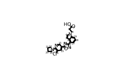 O=C(O)CCn1ccc2c(-c3noc(-c4cnc(N5CCCC5)c(Cl)c4)n3)cccc21